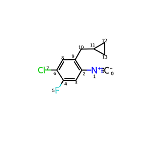 [C-]#[N+]c1cc(F)c(Cl)cc1CC1CC1